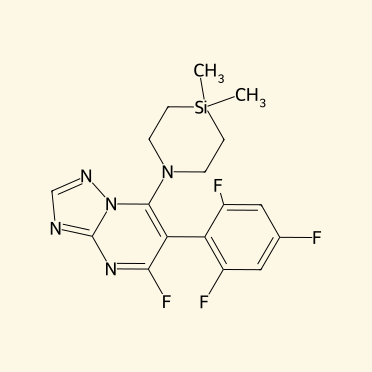 C[Si]1(C)CCN(c2c(-c3c(F)cc(F)cc3F)c(F)nc3ncnn23)CC1